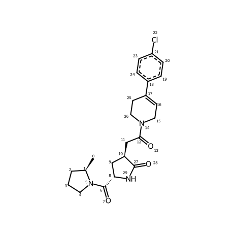 C[C@@H]1CCCN1C(=O)[C@@H]1C[C@@H](CC(=O)N2CC=C(c3ccc(Cl)cc3)CC2)C(=O)N1